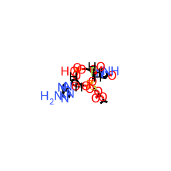 CC(C)OC(=O)OCSP1(=O)OC[C@H]2O[C@@H](n3cnc4c(N)ncnc43)C[C@@H]2OP(=O)(O)OC[C@H]2O[C@@H](n3ccc(=O)[nH]c3=O)[C@H](O1)[C@@H]2F